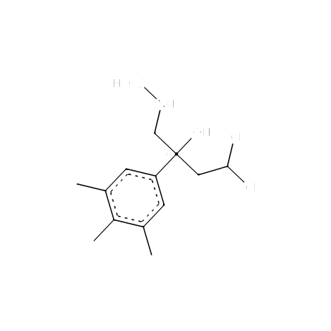 Cc1cc(C(O)(CNS(=O)(=O)O)CC(Cl)Cl)cc(C)c1C